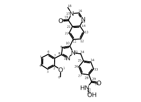 COc1ccccc1-c1cc(-c2ccc3ncn(C)c(=O)c3c2)n(Cc2ccc(C(=O)NO)cc2)n1